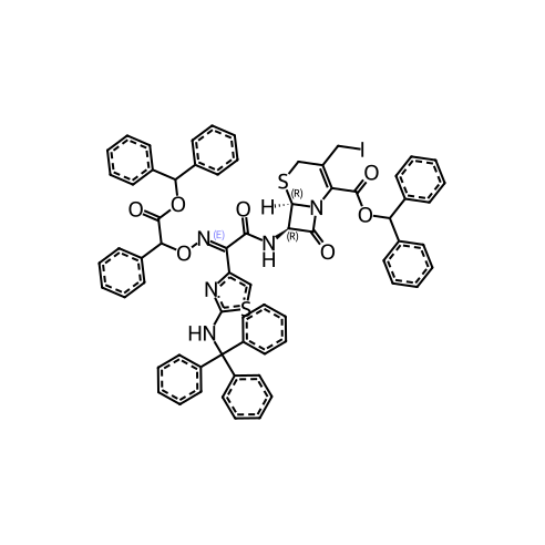 O=C(OC(c1ccccc1)c1ccccc1)C1=C(CI)CS[C@@H]2[C@H](NC(=O)/C(=N/OC(C(=O)OC(c3ccccc3)c3ccccc3)c3ccccc3)c3csc(NC(c4ccccc4)(c4ccccc4)c4ccccc4)n3)C(=O)N12